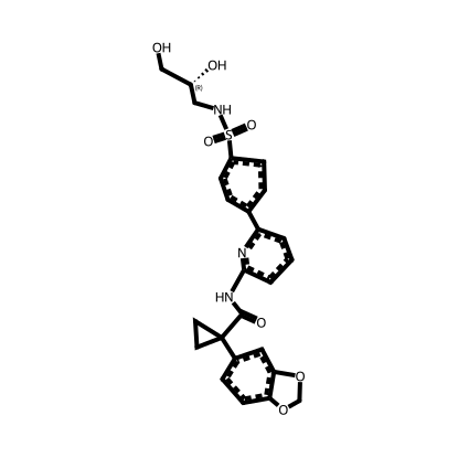 O=C(Nc1cccc(-c2ccc(S(=O)(=O)NC[C@@H](O)CO)cc2)n1)C1(c2ccc3c(c2)OCO3)CC1